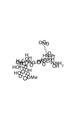 COc1cccc2c1C(=O)c1c(O)c3c(c(O)c1C2=O)C[C@@](O)(C(=O)CO)C[C@@H]3O[C@H]1C[C@H](NC(=O)OCc2ccc(NC(=O)[C@H](CCCNC(N)O)NC(=O)[C@@H](NC(=O)CCCCCN3C(=O)C=CC3=O)C(C)C)cc2)[C@H](O)[C@H](C)O1